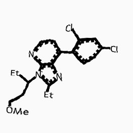 CCc1nc2c(-c3ccc(Cl)cc3Cl)ccnc2n1C(CC)CCOC